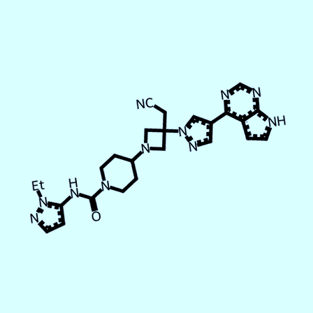 CCn1nccc1NC(=O)N1CCC(N2CC(CC#N)(n3cc(-c4ncnc5[nH]ccc45)cn3)C2)CC1